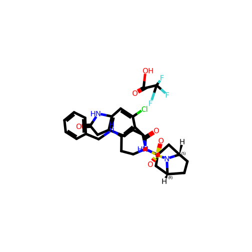 O=C(O)C(F)(F)F.O=C1Cc2cc(C(=O)NC3C[C@H]4CC[C@@H](C3)N4S(=O)(=O)N3CCC(NCc4ccccc4)CC3)c(Cl)cc2N1